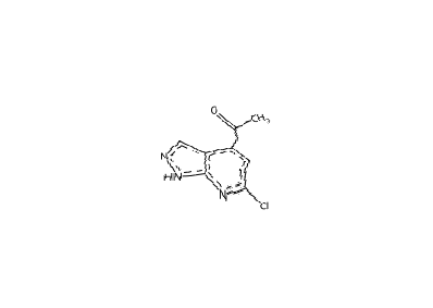 CC(=O)c1cc(Cl)nc2[nH]ncc12